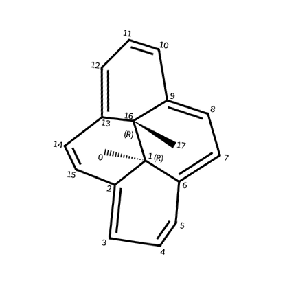 C[C@@]12C3=CC=CC1=CC=C1C=CC=C(C=C3)[C@]12C